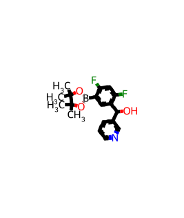 CC1(C)OB(c2cc(C(O)c3cccnc3)c(F)cc2F)OC1(C)C